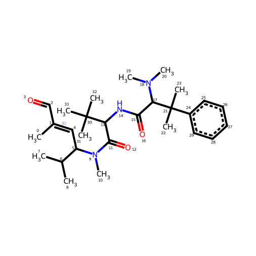 C/C(C=O)=C\C(C(C)C)N(C)C(=O)C(NC(=O)C(N(C)C)C(C)(C)c1ccccc1)C(C)(C)C